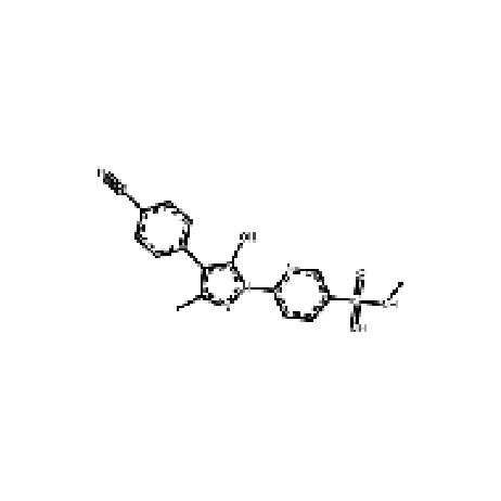 CNS(=N)(=O)c1ccc(-n2nc(C)c(-c3ccc(C#N)cc3)c2O)nc1